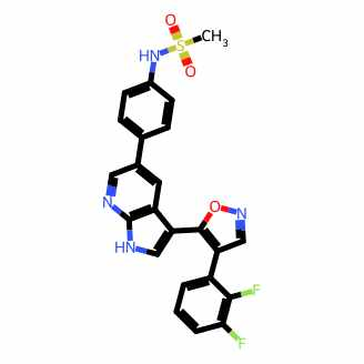 CS(=O)(=O)Nc1ccc(-c2cnc3[nH]cc(-c4oncc4-c4cccc(F)c4F)c3c2)cc1